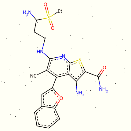 CCS(=O)(=O)C(N)CCNc1nc2sc(C(N)=O)c(N)c2c(-c2cc3ccccc3o2)c1C#N